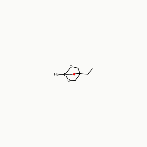 CCC12CO[P](S)(OC1)OC2